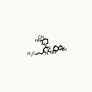 CCCCc1cc(N2CCCC(NC)C2)nc(Nc2ccc3cn[nH]c3c2)n1